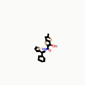 Cc1cc2sc(C(=O)NC=C(c3ccccc3)c3cccs3)c(O)c2s1